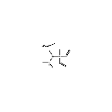 C=C[Si](C)(C=C)N(C)[SiH](C)C.CCCCCC